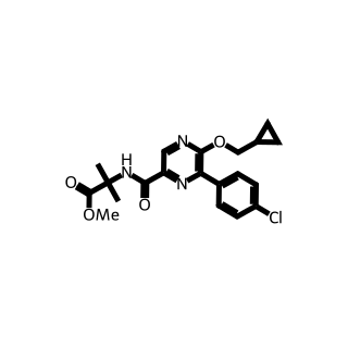 COC(=O)C(C)(C)NC(=O)c1cnc(OCC2CC2)c(-c2ccc(Cl)cc2)n1